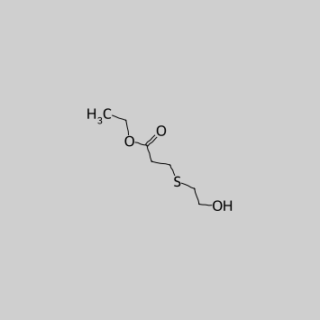 CCOC(=O)CCSCCO